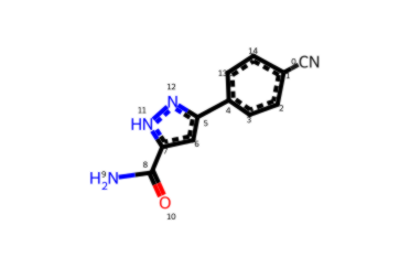 N#Cc1ccc(-c2cc(C(N)=O)[nH]n2)cc1